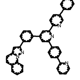 c1ccc(-c2ccc(-c3cc(-c4cccc(-c5cc6ccc7ccccc7n6n5)c4)cc(-c4ccc(-c5ccccn5)cc4)n3)nc2)cc1